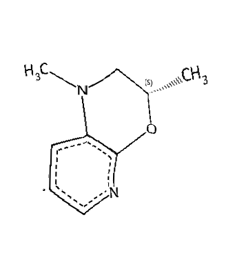 C[C@H]1CN(C)c2c[c]cnc2O1